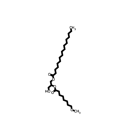 CCCCCCCCCCCCCCCCC(=O)OCC(CO)OC(=O)CCCCCCCOC